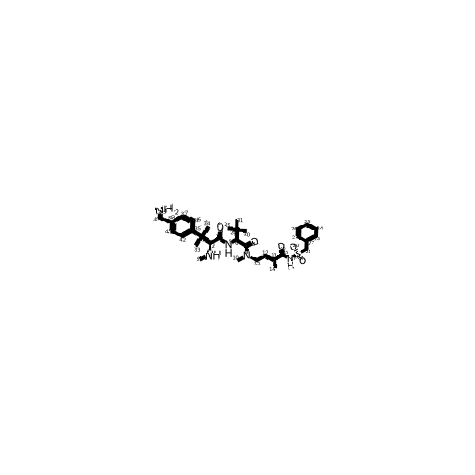 CN[C@H](C(=O)NC(C(=O)N(C)C/C=C(\C)C(=O)NS(=O)(=O)Cc1ccccc1)C(C)(C)C)C(C)(C)c1ccc(CN)cc1